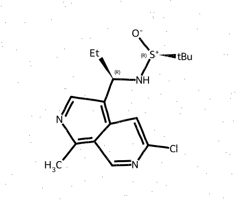 CC[C@@H](N[S@@+]([O-])C(C)(C)C)c1cnc(C)c2cnc(Cl)cc12